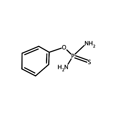 NP(N)(=S)Oc1ccccc1